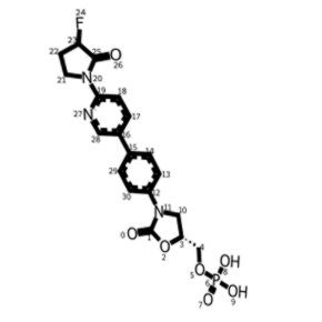 O=C1O[C@@H](COP(=O)(O)O)CN1c1ccc(-c2ccc(N3CCC(F)C3=O)nc2)cc1